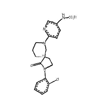 CCOC(=O)Nc1ccc(N2CCC[C@@]3(CCN(c4ccccc4Cl)C3=O)C2)nc1